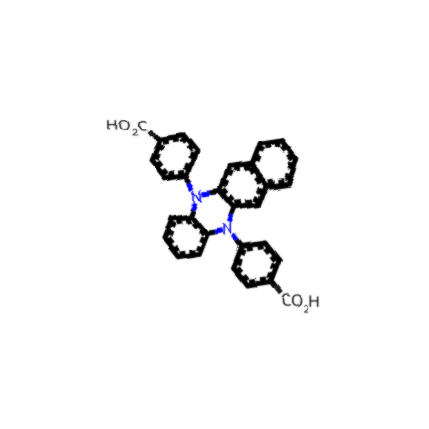 O=C(O)c1ccc(N2c3ccccc3N(c3ccc(C(=O)O)cc3)c3cc4ccccc4cc32)cc1